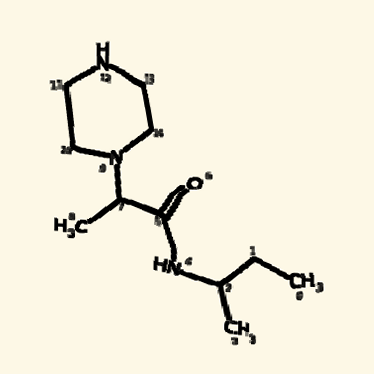 CCC(C)NC(=O)C(C)N1CCNCC1